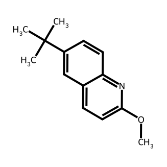 COc1ccc2cc(C(C)(C)C)ccc2n1